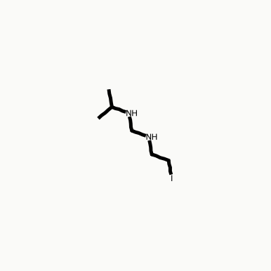 CC(C)NCNCCI